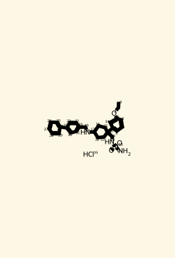 CCOc1cccc(C2(CNS(N)(=O)=O)CCC(NCc3ccc(-c4ccccc4)cc3)CC2)c1.Cl